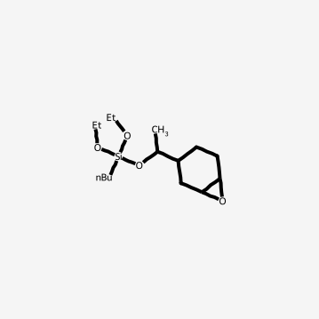 CCCC[Si](OCC)(OCC)OC(C)C1CCC2OC2C1